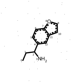 CCC(N)c1ccc2occc2c1